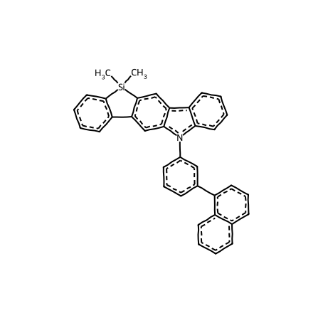 C[Si]1(C)c2ccccc2-c2cc3c(cc21)c1ccccc1n3-c1cccc(-c2cccc3ccccc23)c1